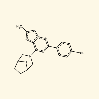 Cc1cc2c(N3CC4CCC(C3)O4)nc(-c3ccc(N)cc3)nn2c1